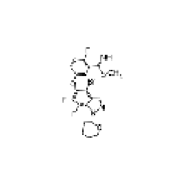 CSC(=N)c1cc(Oc2c(F)c(F)c3c(cnn3C3CCCCO3)c2Br)ccc1F